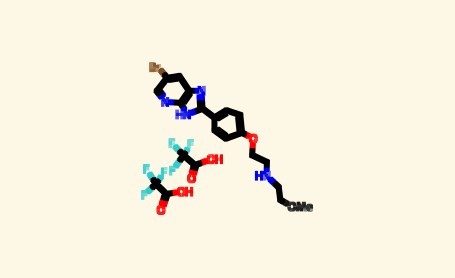 COCCNCCOc1ccc(-c2nc3cc(Br)cnc3[nH]2)cc1.O=C(O)C(F)(F)F.O=C(O)C(F)(F)F